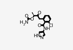 C[C@H](OC(N)=O)C(=O)Cc1cccc(Cl)c1C(=O)Nc1cn[nH]c1